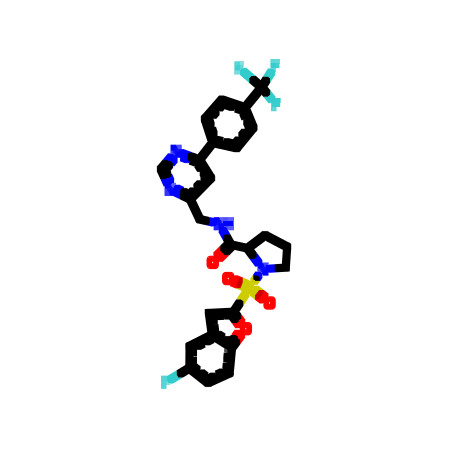 O=C(NCc1cc(-c2ccc(C(F)(F)F)cc2)ncn1)C1CCCN1S(=O)(=O)c1cc2cc(F)ccc2o1